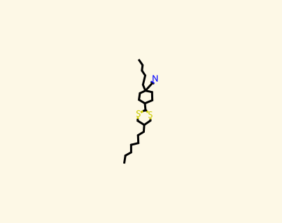 CCCCCCCC1CSC(C2CCC(C#N)(CCCCC)CC2)SC1